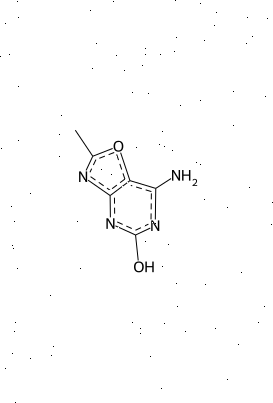 Cc1nc2nc(O)nc(N)c2o1